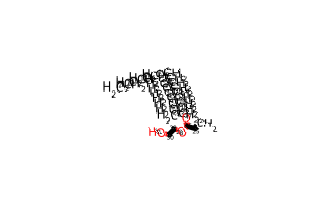 C=C.C=C.C=C.C=C.C=C.C=C.C=C.C=C.C=C.C=C.C=C.C=C.C=CC(=O)OCCO